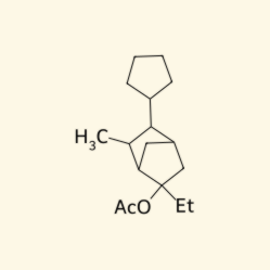 CCC1(OC(C)=O)CC2CC1C(C)C2C1CCCC1